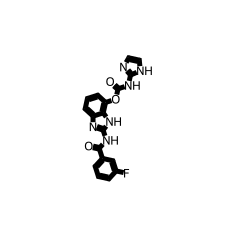 O=C(Nc1ncc[nH]1)Oc1cccc2nc(NC(=O)c3cccc(F)c3)[nH]c12